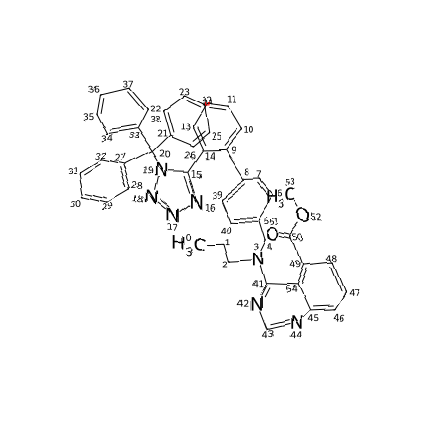 CCCN(Cc1ccc(-c2ccccc2-c2nnnn2C(c2ccccc2)(c2ccccc2)c2ccccc2)cc1)c1ncnc2cccc(C(=O)OC)c12